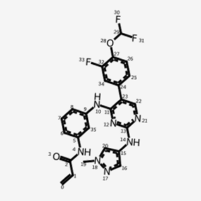 C=CC(=O)Nc1cccc(Nc2nc(Nc3cnn(C)c3)ncc2-c2ccc(OC(F)F)c(F)c2)c1